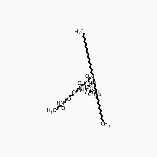 CCCCCCCCCCCCCCCCCCN(CCCCCCCCCCCCCCCCCC)C(=O)[C@@H](CCC(=O)NCCOCCOCCNC(=O)CCC)NC(=O)OC(C)(C)C